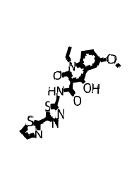 CCn1c(=O)c(C(=O)Nc2nnc(-c3nccs3)s2)c(O)c2cc(OC)ccc21